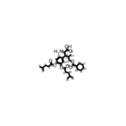 CC(C)CCC(=O)Oc1ccc(C(C(C)COC(=O)C2CCCCC2)[C@H](N)C(=O)O)cc1OC(=O)CCC(C)C